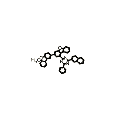 CC12C=CC=CC1c1cc(-c3cc(-c4nc(-c5ccccc5)nc(-c5ccc6ccccc6c5)n4)c4c(c3)oc3ccccc34)ccc1O2